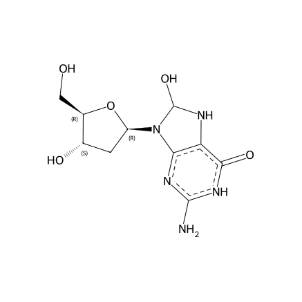 Nc1nc2c(c(=O)[nH]1)NC(O)N2[C@H]1C[C@H](O)[C@@H](CO)O1